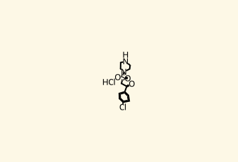 Cl.O=C(CS(=O)(=O)N1CCNCC1)c1ccc(Cl)cc1